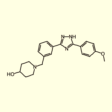 COc1ccc(-c2nc(-c3cccc(CN4CCC(O)CC4)c3)n[nH]2)cc1